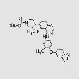 Cc1cc(Nc2ncnc3ccc(N4CCN(C(=O)OC(C)(C)C)CC4C)c(F)c23)ccc1Oc1ccn2ncnc2c1